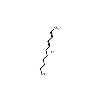 CCCCCCCCCCCCCC=CC=CC(=O)O.[Cs]